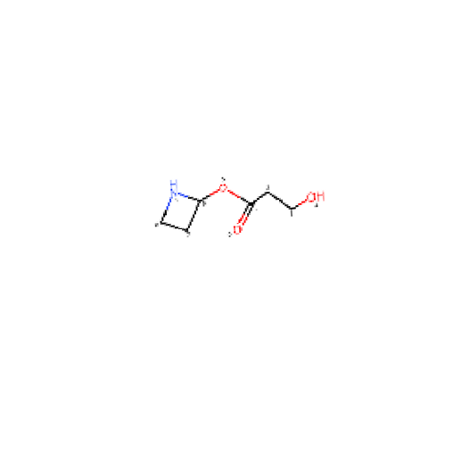 O=C(CCO)OC1CCN1